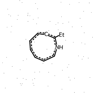 CCc1ccccccc[nH]1